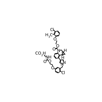 Cc1c(Cl)cccc1OCCOC(=O)N1C[C@@H]2C[C@@H]2c2c(-c3cnn(Cc4cc(OCCOC(=O)NCC(=O)O)ccc4Cl)c3)cccc21